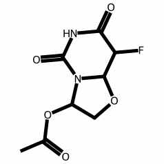 CC(=O)OC1COC2C(F)C(=O)NC(=O)N12